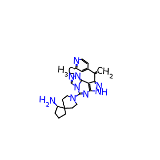 C=C(c1ccnc(C)c1)c1n[nH]c2nc(N3CCC4(CCC[C@H]4N)CC3)n3cnnc3c12